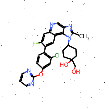 Cc1nc2cnc3cc(F)c(-c4ccc(Oc5ncccn5)cc4Cl)cc3c2n1C1CCC(O)(CO)CC1